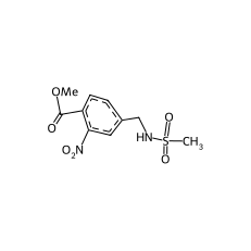 COC(=O)c1ccc(CNS(C)(=O)=O)cc1[N+](=O)[O-]